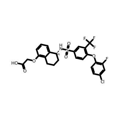 O=C(O)COc1cccc2c1CCC[C@H]2NS(=O)(=O)c1ccc(Oc2ccc(Cl)cc2F)c(C(F)(F)F)c1